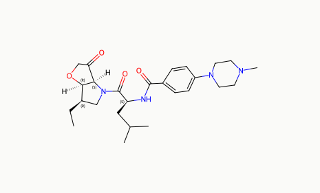 CC[C@@H]1CN(C(=O)[C@H](CC(C)C)NC(=O)c2ccc(N3CCN(C)CC3)cc2)[C@@H]2C(=O)CO[C@H]12